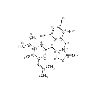 CC(C)=NOC(=O)[C@@H](NC(=O)C[C@@H]1CCC(=O)N1Cc1cc(F)cc(F)c1F)C(C)C